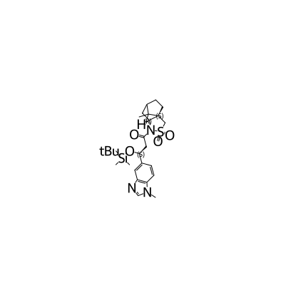 Cn1cnc2cc([C@H](CC(=O)N3[C@@H]4CC5CC[C@]4(CS3(=O)=O)C5(C)C)O[Si](C)(C)C(C)(C)C)ccc21